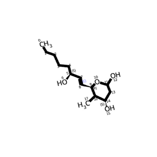 CCCCC[C@H](O)/C=C/[C@H]1OC(O)C[C@H](O)C1C